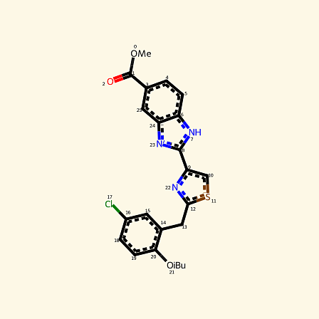 COC(=O)c1ccc2[nH]c(-c3csc(Cc4cc(Cl)ccc4OCC(C)C)n3)nc2c1